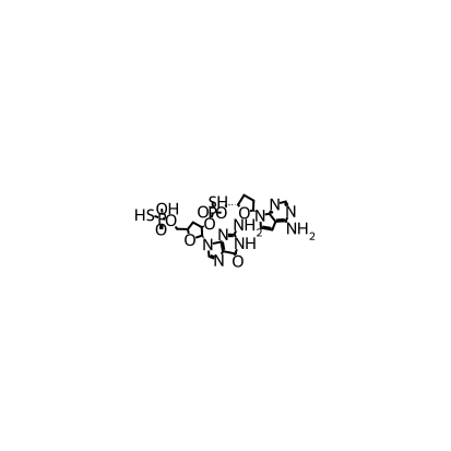 Nc1nc2c(ncn2[C@@H]2OC(COP(=O)(O)S)C[C@H]2OP(=O)(S)OC[C@@H]2CC[C@H](n3ccc4c(N)ncnc43)O2)c(=O)[nH]1